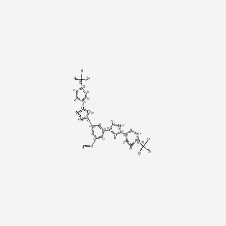 C=Cc1cc(-c2nnc(-c3ccc(C(C)(C)C)cc3)o2)cc(-c2nnc(-c3ccc(C(C)(C)C)cc3)o2)c1